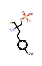 CCCCCCCCc1ccc(CCC(N)(CF)COP(=O)(O)O)cc1